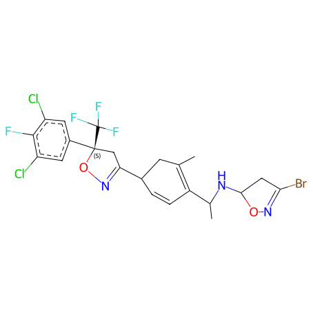 CC1=C(C(C)NC2CC(Br)=NO2)C=CC(C2=NO[C@@](c3cc(Cl)c(F)c(Cl)c3)(C(F)(F)F)C2)C1